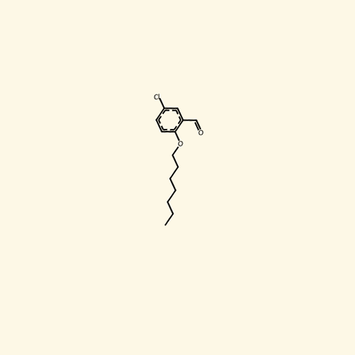 CCCCCCCOc1ccc(Cl)cc1C=O